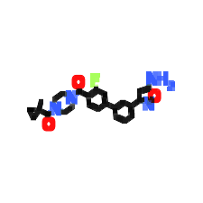 CC1(C(=O)N2CCN(C(=O)c3ccc(-c4cccc(-c5cc(N)on5)c4)cc3F)CC2)CC1